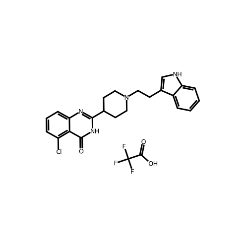 O=C(O)C(F)(F)F.O=c1[nH]c(C2CCN(CCc3c[nH]c4ccccc34)CC2)nc2cccc(Cl)c12